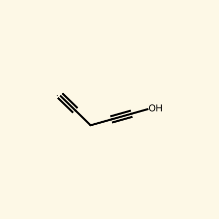 [C]#CCC#CO